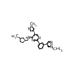 CC1CCC(CNc2nc(-c3cccc(-c4cnn(C)c4)c3)ncc2-c2cnn(C)c2)C1